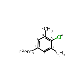 CCCCCc1cc(C)c(Cl)c(C)c1